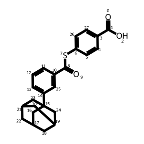 O=C(O)c1ccc(SC(=O)c2cccc(C34CC5CC(CC(C5)C3)C4)c2)cc1